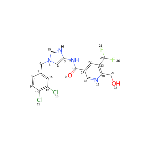 O=C(Nc1cn(Cc2ccc(Cl)c(Cl)c2)cn1)c1cnc(CO)c(C(F)F)c1